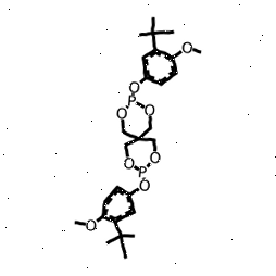 COc1ccc(OP2OCC3(CO2)COP(Oc2ccc(OC)c(C(C)(C)C)c2)OC3)cc1C(C)(C)C